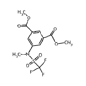 COC(=O)c1cc(C(=O)OC)cc(N(C)S(=O)(=O)C(F)(F)F)c1